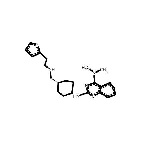 CN(C)c1nc(N[C@H]2CC[C@@H](CNCCc3cccs3)CC2)nc2ccccc12